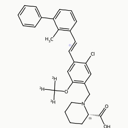 [2H]C([2H])([2H])Oc1cc(/C=C/c2cccc(-c3ccccc3)c2C)c(Cl)cc1CN1CCCC[C@H]1C(=O)O